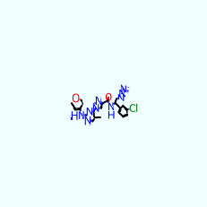 Cc1cnc(NC2CCOCC2)nc1-n1cnc(C(=O)NC(CN=[N+]=[N-])c2cccc(Cl)c2)c1